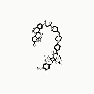 CC1(C)C(NC(=O)c2ccc(N3CCN(CC4CCN(C(=O)CNc5ccc6nnn(C7CCC(=O)NC7=O)c(=O)c6c5)CC4)CC3)cc2)C(C)(C)C1Oc1ccc(C#N)c(Cl)c1